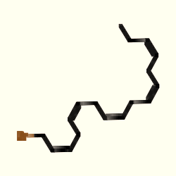 CC/C=C\C/C=C\C/C=C\C/C=C\C/C=C\CBr